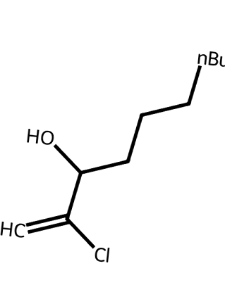 [CH]=C(Cl)C(O)CCCCCCC